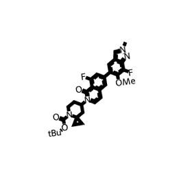 COc1c(-c2cc(F)c3c(=O)n(C4CCN(C(=O)OC(C)(C)C)C5(CC5)C4)ccc3c2)cc2cn(C)nc2c1F